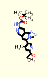 CCC(=O)c1cc(C)c(-c2cc3cnc(NC(=O)OC(C)(C)C)cc3c3nncn23)cn1